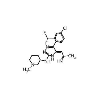 CC(=N)/C=C1\NC(NC2CCCN(C)C2)=NN=C1c1ccc(Cl)cc1C(F)F